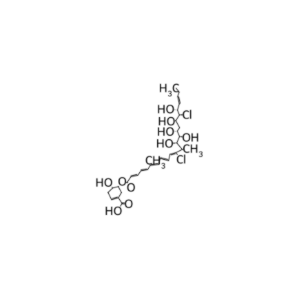 CC/C=C/[C@@H](O)[C@@H](Cl)[C@H](O)C[C@@H](O)[C@@H](O)[C@H](O)[C@H](C)/C(Cl)=C/C=C/C=C(C)/C=C/C=C/C(=O)O[C@@H]1CC(C(=O)O)=CC[C@@H]1O